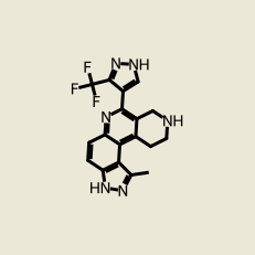 Cc1n[nH]c2ccc3nc(-c4c[nH]nc4C(F)(F)F)c4c(c3c12)CCNC4